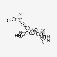 CCC(CCNC)CNc1ccc(S(=O)(=O)NC(=O)c2ccc(N3CCN(CC4=C(c5ccc(Cl)cc5)CC(C)(C)CC4)CC3)cc2Oc2cnc3[nH]ccc3c2)cc1[N+](=O)[O-]